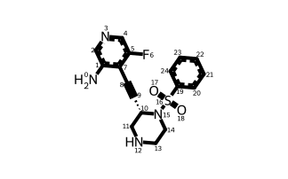 Nc1cncc(F)c1C#C[C@H]1CNCCN1S(=O)(=O)c1ccccc1